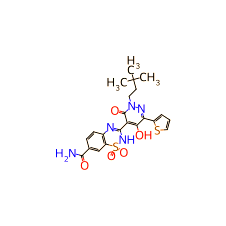 CC(C)(C)CCn1nc(-c2cccs2)c(O)c(C2=Nc3ccc(C(N)=O)cc3S(=O)(=O)N2)c1=O